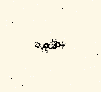 Cc1cc(C(F)(F)F)cc2cc(Cc3c(Cl)ccc(C(=O)N4CCOCC4)c3Cl)[nH]c12